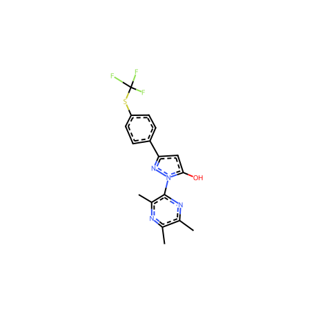 Cc1nc(C)c(-n2nc(-c3ccc(SC(F)(F)F)cc3)cc2O)nc1C